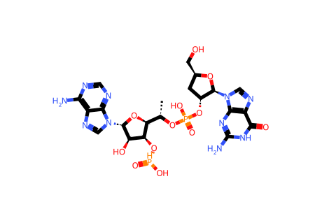 C[C@H](OP(=O)(O)O[C@@H]1C[C@@H](CO)O[C@H]1n1cnc2c(=O)[nH]c(N)nc21)[C@@H]1O[C@@H](n2cnc3c(N)ncnc32)[C@H](O)[C@@H]1O[PH](=O)O